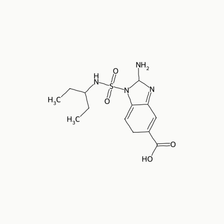 CCC(CC)NS(=O)(=O)N1C2=CCC(C(=O)O)=CC2=NC1N